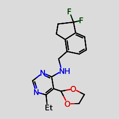 CCc1ncnc(NCc2cccc3c2CCC3(F)F)c1C1OCCO1